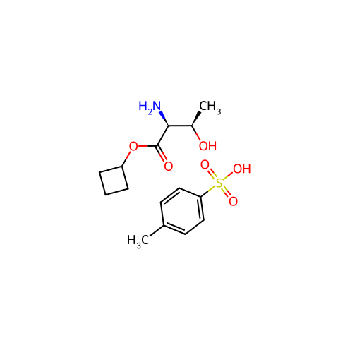 C[C@@H](O)[C@H](N)C(=O)OC1CCC1.Cc1ccc(S(=O)(=O)O)cc1